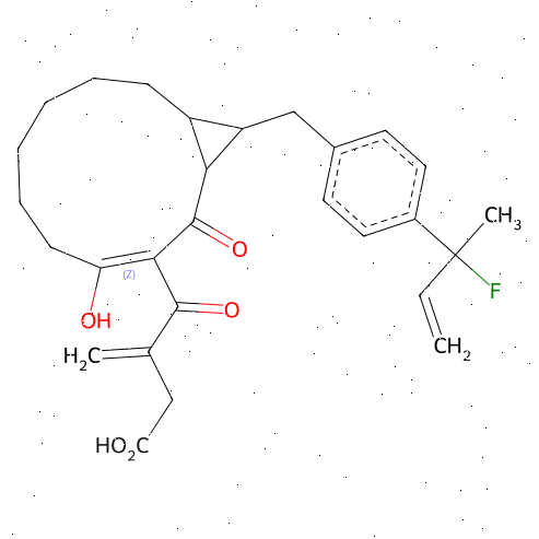 C=CC(C)(F)c1ccc(CC2C3CCCCCC/C(O)=C(/C(=O)C(=C)CC(=O)O)C(=O)C32)cc1